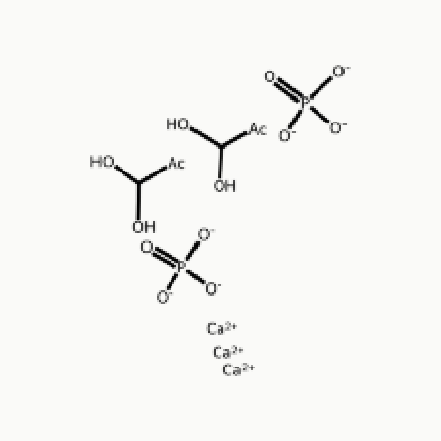 CC(=O)C(O)O.CC(=O)C(O)O.O=P([O-])([O-])[O-].O=P([O-])([O-])[O-].[Ca+2].[Ca+2].[Ca+2]